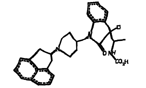 CC(NC(=O)O)C1(Cl)C(=O)N(C2CCN(C3Cc4cccc5cccc3c45)CC2)c2ccccc21